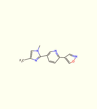 Cn1cc(C(F)(F)F)nc1-c1ccc(-c2cnoc2)nc1